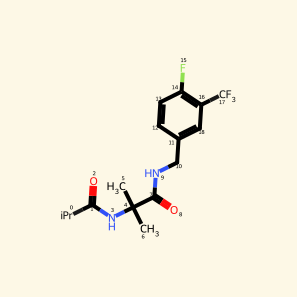 CC(C)C(=O)NC(C)(C)C(=O)NCc1ccc(F)c(C(F)(F)F)c1